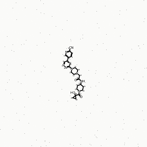 N#Cc1ccc(-c2cnnc(N3CCN(CC(=O)NC4CCN(C(=O)C5(O)CC5)CC4)CC3)n2)cn1